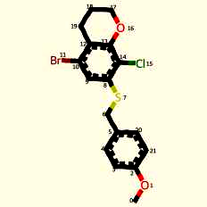 COc1ccc(CSc2cc(Br)c3c(c2Cl)OCCC3)cc1